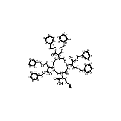 C=CCCC(C(=O)O)N1CCN(C(COCc2ccccc2)C(=O)OCc2ccccc2)CCN(C(COCc2ccccc2)C(=O)OCc2ccccc2)CCN(C(COCc2ccccc2)C(=O)OCc2ccccc2)CC1C